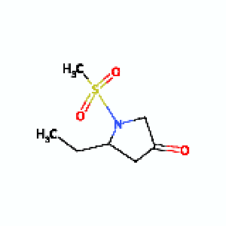 CCC1CC(=O)CN1S(C)(=O)=O